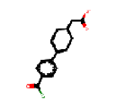 O=C(O)CC1CCC(c2ccc(C(=O)Cl)cc2)CC1